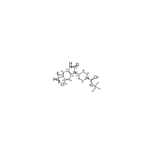 CC(C)(C)OC(=O)N1CCC(n2c(=O)[nH]c3cc(C(F)(F)F)c(Cl)cc32)CC1